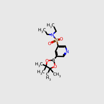 CCN(CC)S(=O)(=O)c1cncc(B2OC(C)(C)C(C)(C)O2)c1